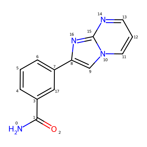 NC(=O)c1cccc(-c2cn3cccnc3n2)c1